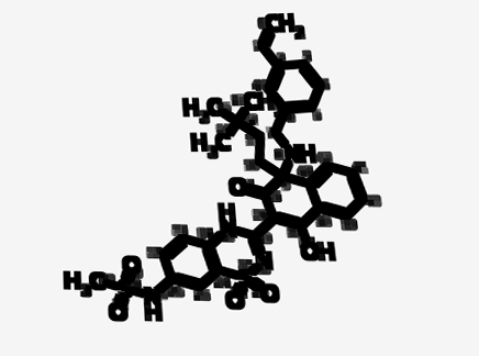 C=Cc1cccc(CNC2(CCC(C)(C)C)C(=O)C(C3=NS(=O)(=O)c4cc(NS(C)(=O)=O)ccc4N3)=C(O)c3ccccc32)c1